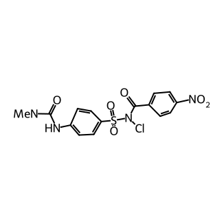 CNC(=O)Nc1ccc(S(=O)(=O)N(Cl)C(=O)c2ccc([N+](=O)[O-])cc2)cc1